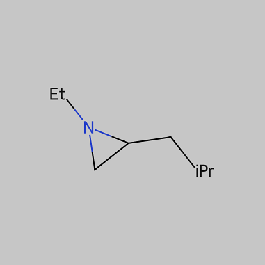 CCN1CC1CC(C)C